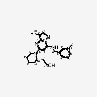 C[n+]1cccc(CNc2cc(N3CCCC[C@H]3CCO)nc3c(Br)cnn23)c1